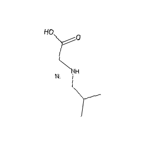 CC(C)CNCC(=O)O.[N]